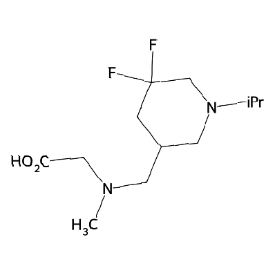 CC(C)N1CC(CN(C)CC(=O)O)CC(F)(F)C1